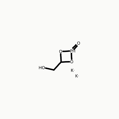 O=[PH]1OC(CO)O1.[K].[K]